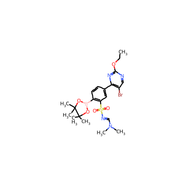 CCOc1ncc(Br)c(-c2ccc(B3OC(C)(C)C(C)(C)O3)c(S(=O)(=O)N=CN(C)C)c2)n1